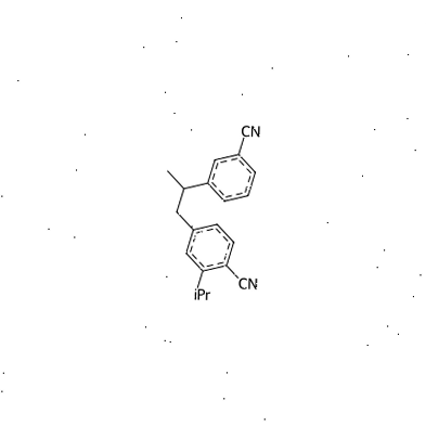 CC(C)c1cc(CC(C)c2cccc(C#N)c2)ccc1C#N